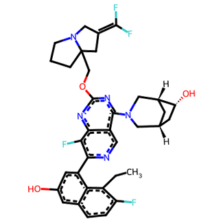 CCc1c(F)ccc2cc(O)cc(-c3ncc4c(N5C[C@@H]6C[C@H](C5)[C@H](O)C6)nc(OCC56CCCN5CC(=C(F)F)C6)nc4c3F)c12